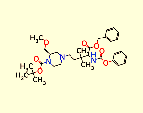 COC[C@H]1CN(CCC(C)(C)[C@@H](NC(=O)Oc2ccccc2)C(=O)OCc2ccccc2)CCN1C(=O)OC(C)(C)C